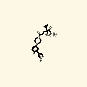 CNC(=O)C(CCC(=O)N1CCN(c2ccc(F)c(-c3cn[nH]c3)c2)CC1)(NC=O)C1CC1